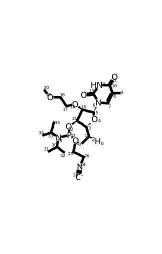 [2H][C@H](C)[C@H]1O[C@@H](n2cc(C)c(=O)[nH]c2=O)[C@H](OCCOC)[C@@H]1OP(OCC[N+]#[C-])N(C(C)C)C(C)C